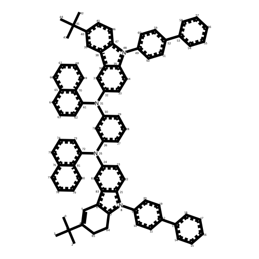 CC(C)(C)C1=Cc2c(n(-c3ccc(-c4ccccc4)cc3)c3ccc(N(c4cccc(N(c5ccc6c(c5)c5cc(C(C)(C)C)ccc5n6-c5ccc(-c6ccccc6)cc5)c5cccc6ccccc56)c4)c4cccc5ccccc45)cc23)CC1